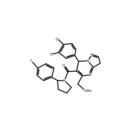 COCC1=C(C(=O)N2CCCC2c2ccc(F)cc2)C(c2ccc(Cl)c(Cl)c2)N2N=CCC2=N1